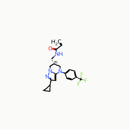 C=CC(=O)NC[C@@H]1CN(c2ccc(C(F)(F)F)cc2)c2cc(C3CC3)nn2C1